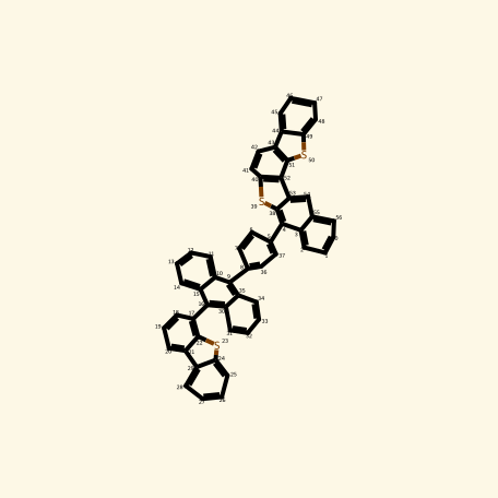 c1ccc2c(-c3ccc(-c4c5ccccc5c(-c5cccc6c5sc5ccccc56)c5ccccc45)cc3)c3sc4ccc5c6ccccc6sc5c4c3cc2c1